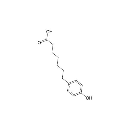 O=C(O)CCCCCCc1ccc(O)cc1